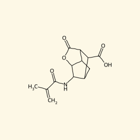 C=C(C)C(=O)NC1C2CC3C1OC(=O)C3C2C(=O)O